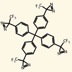 FC(F)(F)C1(c2ccc(C(c3ccc(C4(C(F)(F)F)N=N4)cc3)(c3ccc(C4(C(F)(F)F)N=N4)cc3)c3ccc(C4(C(F)(F)F)N=N4)cc3)cc2)N=N1